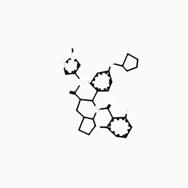 Cc1cccc(F)c1C(=O)N1C2CCCC2CC(C(=O)Nc2cnn(C)c2)C1c1ccc(NC2CCCC2)cc1